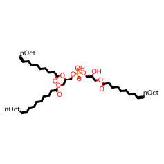 CCCCCCCC/C=C\CCCCCCCC(=O)OC[C@H](O)COP(=O)(O)OC[C@@H](COC(=O)CCCCCCC/C=C\CCCCCCCC)OC(=O)CCCCCCC/C=C\CCCCCCCC